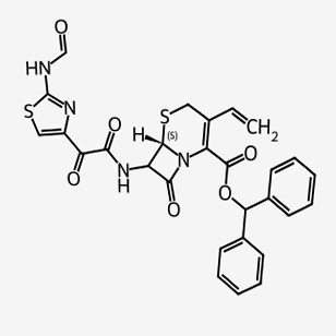 C=CC1=C(C(=O)OC(c2ccccc2)c2ccccc2)N2C(=O)C(NC(=O)C(=O)c3csc(NC=O)n3)[C@@H]2SC1